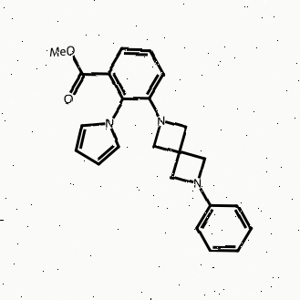 COC(=O)c1cccc(N2CC3(CN(c4ccccc4)C3)C2)c1-n1cccc1